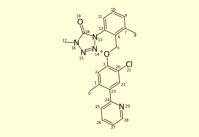 Cc1cc(OCc2c(C)cccc2-n2nnn(C)c2=O)c(Cl)cc1-c1ccccn1